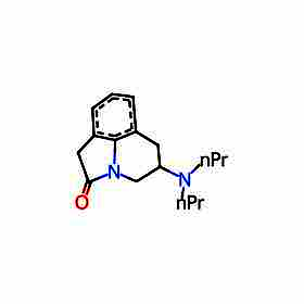 CCCN(CCC)C1Cc2cccc3c2N(C1)C(=O)C3